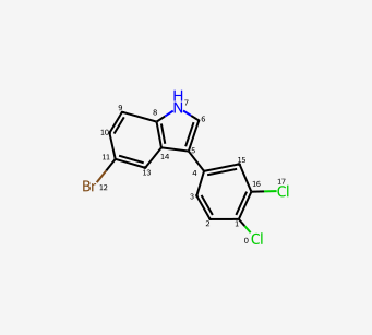 Clc1ccc(-c2c[nH]c3ccc(Br)cc23)cc1Cl